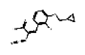 [N-]=[N+]=N/C(=C/c1cccc(OCC2CC2)c1Br)C(=O)O